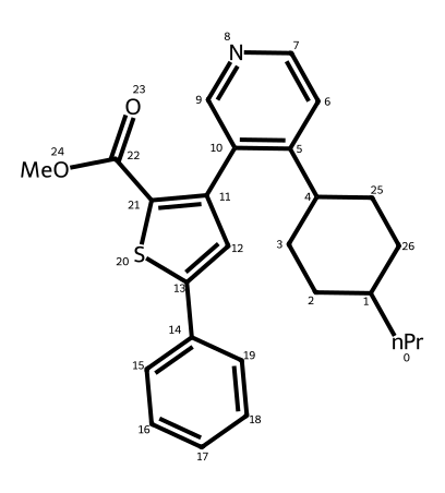 CCCC1CCC(c2ccncc2-c2cc(-c3ccccc3)sc2C(=O)OC)CC1